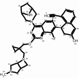 C#Cc1cccc2c1[C@H](c1c(F)cc3c(N4CC5CCC(C4)N5)nc(OCC4(CN5CC6CN(C)CC65)CC4)nc3c1F)CC(O)=C2